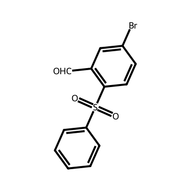 O=Cc1cc(Br)ccc1S(=O)(=O)c1ccccc1